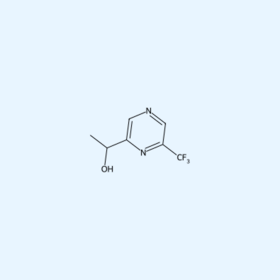 CC(O)c1cncc(C(F)(F)F)n1